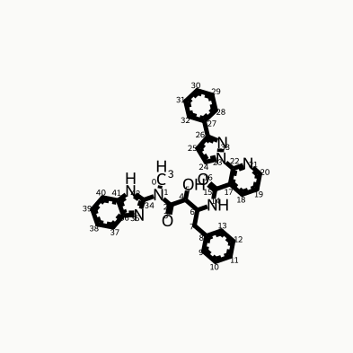 CN(C(=O)C(O)C(Cc1ccccc1)NC(=O)c1cccnc1-n1ccc(-c2ccccc2)n1)c1nc2ccccc2[nH]1